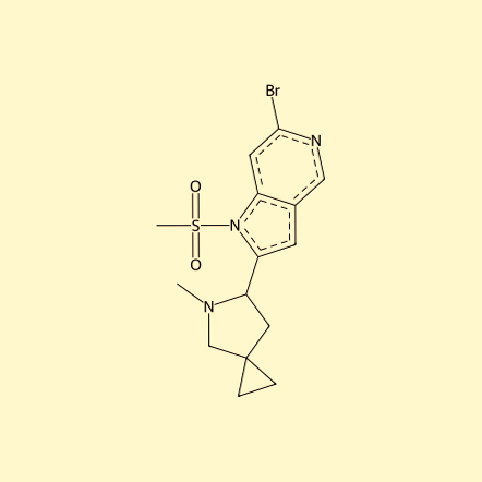 CN1CC2(CC2)CC1c1cc2cnc(Br)cc2n1S(C)(=O)=O